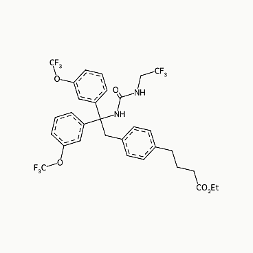 CCOC(=O)CCCc1ccc(CC(NC(=O)NCC(F)(F)F)(c2cccc(OC(F)(F)F)c2)c2cccc(OC(F)(F)F)c2)cc1